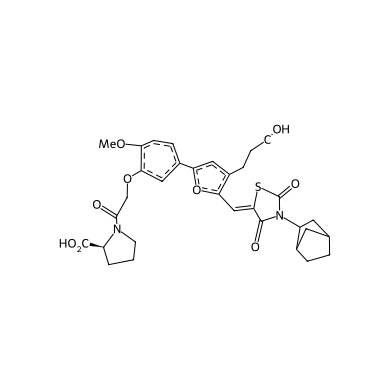 COc1ccc(-c2cc(CCCO)c(/C=C3\SC(=O)N(C4CC5CCC4C5)C3=O)o2)cc1OCC(=O)N1CCC[C@H]1C(=O)O